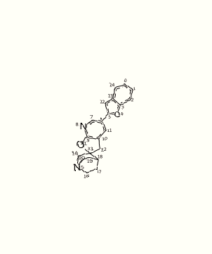 c1ccc2oc(-c3cnc4c(c3)CC3(CN5CCC3CC5)O4)cc2c1